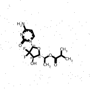 CC(C)C(=O)OC(C)[C@H]1O[C@@H](n2ccc(N)nc2=O)C(F)(F)[C@@H]1O